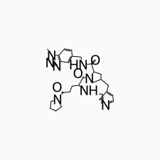 Cn1nnc2cc(CNC(=O)C3CC(Cc4ccncc4)CN3C(=O)C(N)CCC(=O)N3CCCC3)ccc21